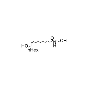 CCCCCCC(O)C/C=C\CCCCCCCC(=O)NCCO